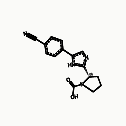 N#Cc1ccc(-c2cnc([C@@H]3CCCN3C(=O)O)[nH]2)cc1